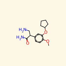 COc1ccc(C(CN)C(N)=O)cc1OC1CCCC1